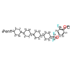 CCCCCC1CCC(C2CCC(C3CCC(C4CCC(C(F)(F)Oc5ccc(OC(F)(F)F)c(F)c5)CC4)CC3)CC2)CC1